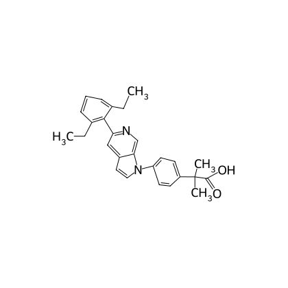 CCc1cccc(CC)c1-c1cc2ccn(-c3ccc(C(C)(C)C(=O)O)cc3)c2cn1